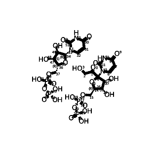 O=C(CO)[C@@]1(n2ccc(=O)[nH]c2=O)O[C@H](COP(=O)(O)OP(=O)(O)O)[C@@H](O)[C@H]1O.O=c1ccn([C@@H]2O[C@H](COP(=O)(O)OP(=O)(O)O)[C@@H](O)[C@H]2O)c(=O)[nH]1